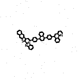 c1ccc2cc3c(cc2c1)sc1c3cc(-c2ccc(-c3ccc(-c4ccc(-c5cc6cccnc6c6ccccc56)cc4)c4ccccc34)cc2)n2c3ccccc3nc12